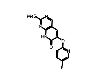 CSc1ncc2cc(Oc3ccc(F)cn3)c(=O)[nH]c2n1